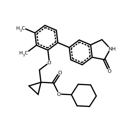 Cc1ccc(-c2ccc3c(c2)CNC3=O)c(OCC2(C(=O)OC3CCCCC3)CC2)c1C